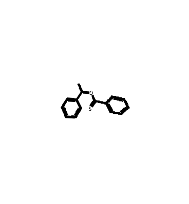 CC(OC(=S)c1ccccc1)c1ccccc1